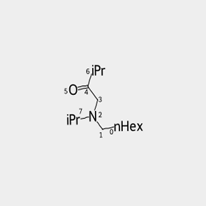 CCCCCCCN(CC(=O)C(C)C)C(C)C